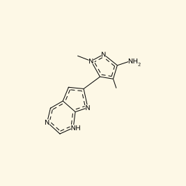 Cc1c(N)nn(C)c1-c1cc2cnc[nH]c-2n1